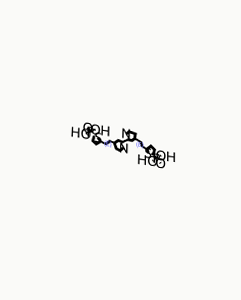 O=P(O)(O)c1ccc(/C=C/c2ccnc(-c3cc(/C=C/c4ccc(P(=O)(O)O)s4)ccn3)c2)s1